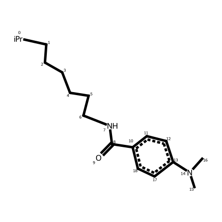 CC(C)CCCCCCNC(=O)c1ccc(N(C)C)cc1